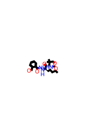 CCCCC[C@@H](NNC(=O)c1ccccc1C=O)C(=O)[C@H]1NC(=O)OCC1(C)C